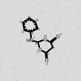 O=C1CC(=O)OC(Nc2ccccc2)O1